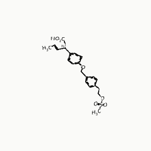 CC=C[C@H](CC(=O)O)c1ccc(OCc2ccc(CCOS(C)(=O)=O)cc2)cc1